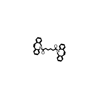 O=C(CCCCC(=O)N1Cc2ccccc2C#Cc2ccccc21)N1Cc2ccccc2C#Cc2ccccc21